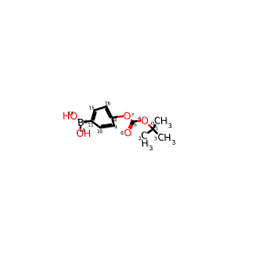 CC(C)(C)OC(=O)Oc1ccc(B(O)O)cc1